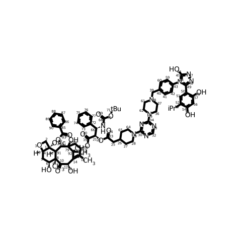 CC(=O)O[C@@]12CO[C@@H]1C[C@H](O)[C@@]1(C)C(=O)[C@H](O)C3=C(C)[C@@H](OC(=O)[C@H](OC(=O)CC4CCN(c5ncnc(N6CCN(Cc7ccc(-n8c(O)nnc8-c8cc(C(C)C)c(O)cc8O)cc7)CC6)n5)CC4)[C@@H](NC(=O)OC(C)(C)C)c4ccccc4)CC(O)([C@@H](OC(=O)c4ccccc4)[C@H]21)C3(C)C